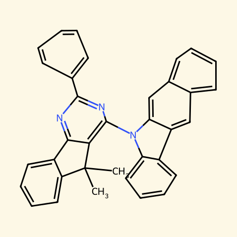 CC1(C)c2ccccc2-c2nc(-c3ccccc3)nc(-n3c4ccccc4c4cc5ccccc5cc43)c21